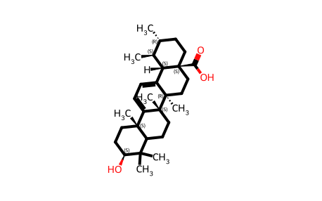 C[C@H]1[C@H](C)CC[C@]2(C(=O)O)CC[C@]3(C)C(=CC=C4[C@@]5(C)CC[C@H](O)C(C)(C)C5CC[C@]43C)[C@H]12